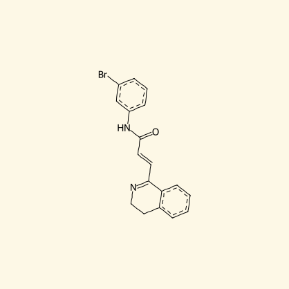 O=C(C=CC1=NCCc2ccccc21)Nc1cccc(Br)c1